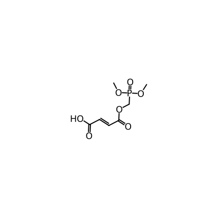 COP(=O)(COC(=O)/C=C/C(=O)O)OC